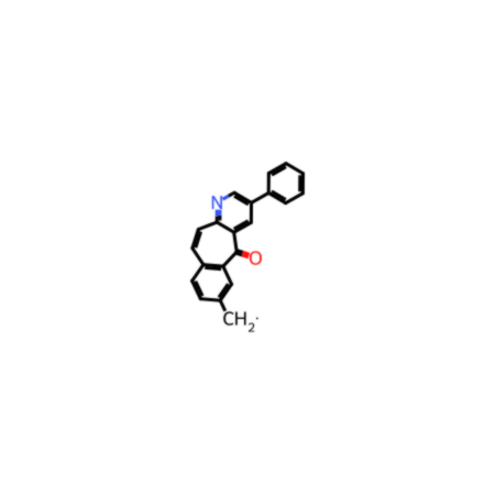 [CH2]c1ccc2ccc3ncc(-c4ccccc4)cc3c(=O)c2c1